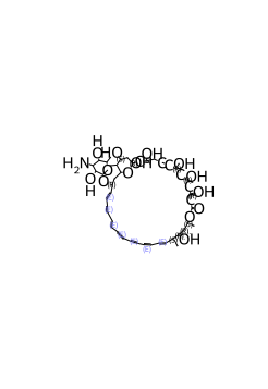 CC1OC(O[C@H]2/C=C/C=C/C=C/C=C/C=C/C=C/C=C/[C@H](C)[C@@H](O)[C@@H](C)[C@H](C)OC(=O)C[C@H](O)C[C@H](O)C[C@H](O)CCC[C@H](O)C[C@]3(O)C[C@H](O)C(C)C(C2)O3)C(O)C(N)C1O